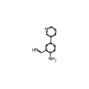 N=Cc1cc(-c2cccnc2)ccc1N